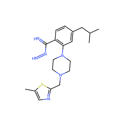 Cc1cnc(CN2CCN(c3cc(CC(C)C)ccc3C(=N)N=N)CC2)s1